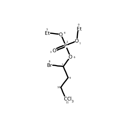 CCOP(=O)(OCC)OC(Br)CCC(Cl)(Cl)Cl